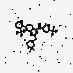 CC1(C)CCCN(Cc2nc(Nc3ccc(C(F)(F)F)nc3)c3ccc(-c4ncccc4C(F)(F)F)cc3n2)C1